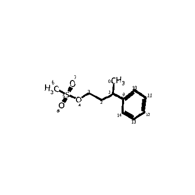 CC(CCOS(C)(=O)=O)c1ccccc1